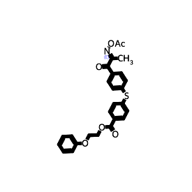 CC(=O)O/N=C(\C)C(=O)c1ccc(Sc2ccc(C(=O)OCCOc3ccccc3)cc2)cc1